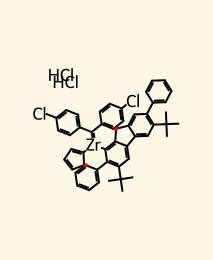 CC(C)(C)c1cc2c(cc1-c1ccccc1)Cc1c-2cc(C(C)(C)C)c(-c2ccccc2)[c]1[Zr]([C]1=CC=CC1)=[C](c1ccc(Cl)cc1)c1ccc(Cl)cc1.Cl.Cl